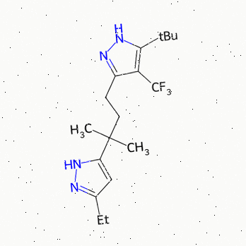 CCc1cc(C(C)(C)CCc2n[nH]c(C(C)(C)C)c2C(F)(F)F)[nH]n1